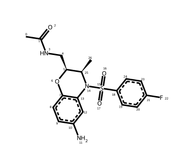 CC(=O)NC[C@@H]1Oc2ccc(N)cc2N(S(=O)(=O)c2ccc(F)cc2)[C@@H]1C